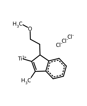 COCCC1[C]([Ti+3])=C(C)c2ccccc21.[Cl-].[Cl-].[Cl-]